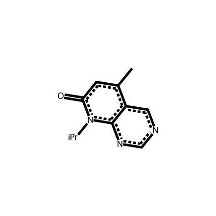 Cc1cc(=O)n(C(C)C)c2ncncc12